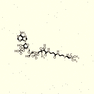 CC(C)(COP(=O)(O)OP(=O)(O)OC[C@H]1O[C@@H](n2cnc3c(N)ncnc32)[C@H](O)[C@@H]1OP(=O)(O)O)[C@@H](O)C(=O)NCCC(=O)NCCSC=C[Si](C)(C)C